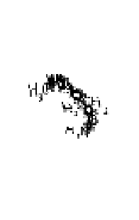 Cn1cc(-c2ccc(Oc3ccc(C(C)(C)c4ccc(O[C@H]5C[C@H](N)C5)cc4)cc3)cn2)cn1